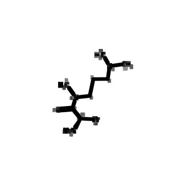 CN[C@@H](C(=O)N(C)CCCN(C)C)C(C)C